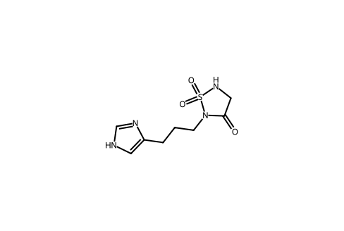 O=C1CNS(=O)(=O)N1CCCc1c[nH]cn1